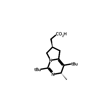 C[C@@H]1N=C(C(C)(C)C)N2C[C@@H](CC(=O)O)CC2=C1C(C)(C)C